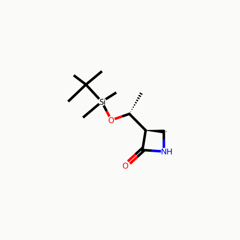 C[C@@H](O[Si](C)(C)C(C)(C)C)[C@H]1[CH]NC1=O